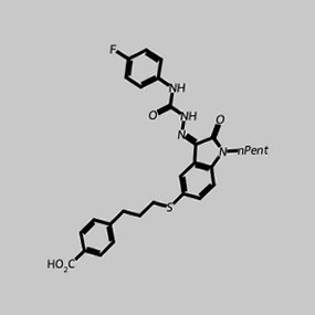 CCCCCN1C(=O)/C(=N\NC(=O)Nc2ccc(F)cc2)c2cc(SCCCc3ccc(C(=O)O)cc3)ccc21